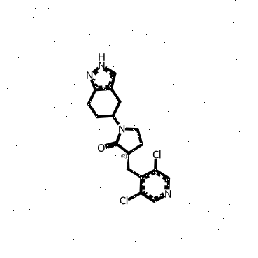 O=C1[C@H](Cc2c(Cl)cncc2Cl)CCN1C1CCc2n[nH]cc2C1